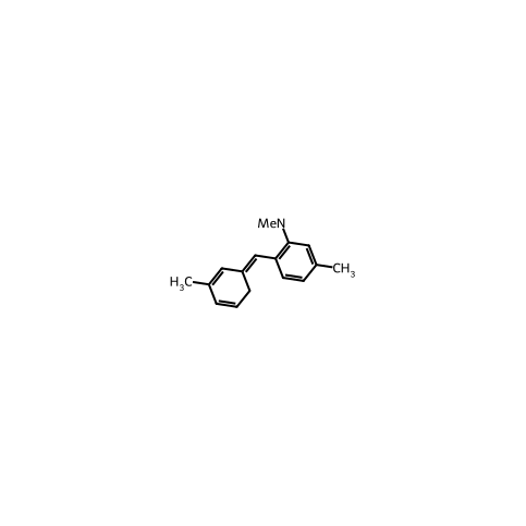 CNc1cc(C)ccc1/C=C1/C=C(C)C=CC1